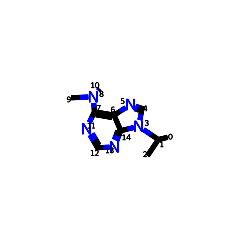 CC(C)n1cnc2c(N(C)C)ncnc21